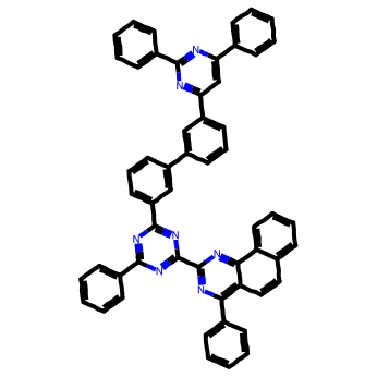 c1ccc(-c2cc(-c3cccc(-c4cccc(-c5nc(-c6ccccc6)nc(-c6nc(-c7ccccc7)c7ccc8ccccc8c7n6)n5)c4)c3)nc(-c3ccccc3)n2)cc1